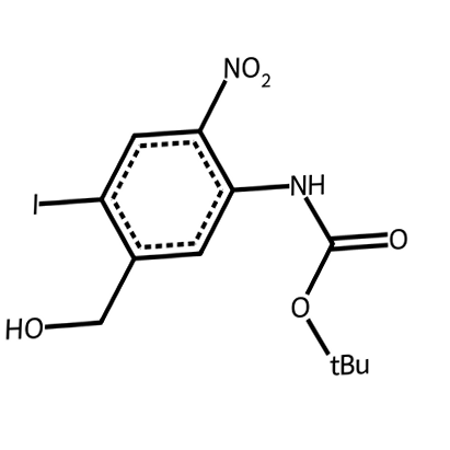 CC(C)(C)OC(=O)Nc1cc(CO)c(I)cc1[N+](=O)[O-]